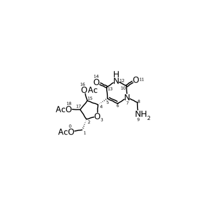 CC(=O)OC[C@H]1O[C@@H](c2cn(CN)c(=O)[nH]c2=O)C(OC(C)=O)C1OC(C)=O